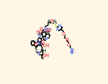 CC[C@]1(O)C[C@@H]2C[N@@](CCc3c([nH]c4ccccc34)[C@@](C(=O)O)(c3cc4c(cc3OC)N(C)[C@H]3[C@@](O)(C(=O)NCCC[Si](C)(C)O[Si](C)(C)CSc5ncc(COCCOCCOCCN=[N+]=[N-])cn5)[C@H](O)[C@]5(CC)C=CCN6CC[C@]43[C@@H]65)C2)C1